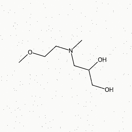 COCCN(C)CC(O)CO